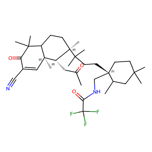 CC(=O)C[C@@H]1[C@@]2(C)C=C(C#N)C(=O)C(C)(C)C2CC[C@@]1(C)C(C)(C)CC[C@@]1(CNC(=O)C(F)(F)F)CCC(C)(C)CC1C